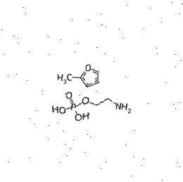 Cc1ccco1.NCCOP(=O)(O)O